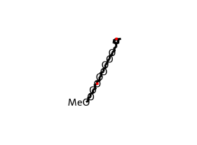 COCCOCCOCCOCCOCCOCCOCCOCCOCCCc1cccc(C)c1